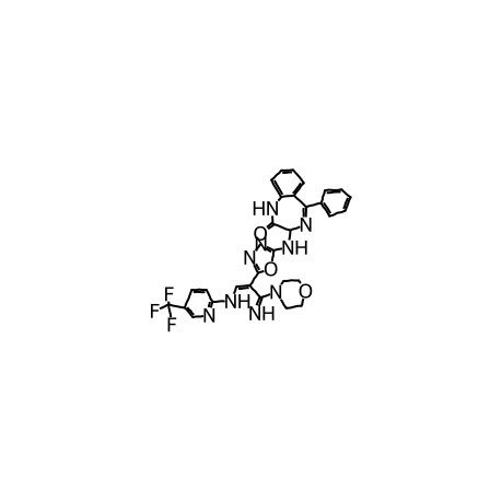 N=C(/C(=C\Nc1ccc(C(F)(F)F)cn1)c1nnc(NC2N=C(c3ccccc3)c3ccccc3NC2=O)o1)N1CCOCC1